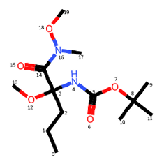 CCCC(NC(=O)OC(C)(C)C)(OC)C(=O)N(C)OC